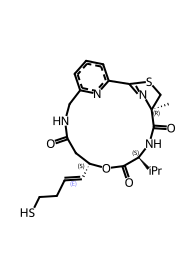 CC(C)[C@@H]1NC(=O)[C@]2(C)CSC(=N2)c2cccc(n2)CNC(=O)C[C@@H](/C=C/CCS)OC1=O